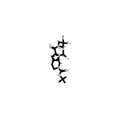 CC(C)(C)OC(=O)N1CCc2cc(C(=O)N3CC(F)(F)C3)n(C(F)F)c2C1